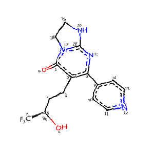 O=c1c(CC[C@@H](O)C(F)(F)F)c(-c2ccncc2)nc2n1CCN2